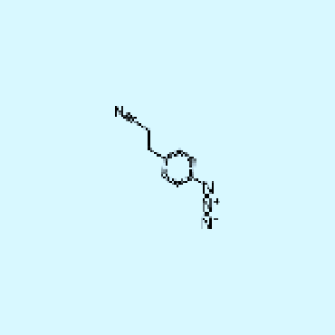 N#CCCc1ccc(N=[N+]=[N-])cc1